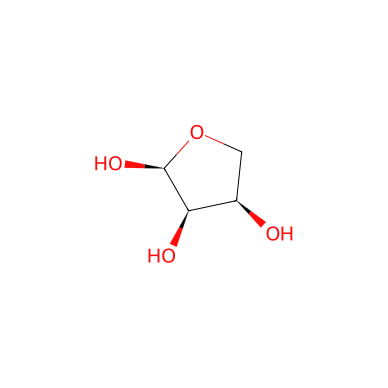 O[C@@H]1[C@H](O)CO[C@@H]1O